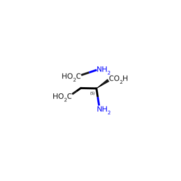 NC(=O)O.N[C@@H](CC(=O)O)C(=O)O